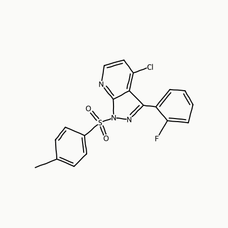 Cc1ccc(S(=O)(=O)n2nc(-c3ccccc3F)c3c(Cl)ccnc32)cc1